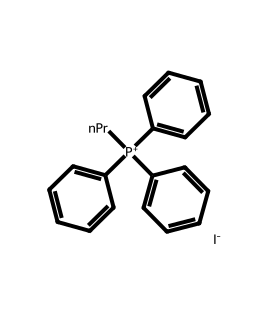 CCC[P+](c1ccccc1)(c1ccccc1)c1ccccc1.[I-]